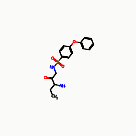 CCC([NH])C(=O)CNS(=O)(=O)c1ccc(Oc2ccccc2)cc1